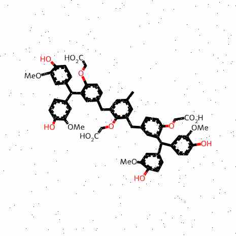 COc1cc(C(c2ccc(O)c(OC)c2)c2cc(Cc3cc(C)cc(Cc4ccc(OCC(=O)O)c(C(c5ccc(O)c(OC)c5)c5ccc(O)c(OC)c5)c4)c3OCC(=O)O)ccc2OCC(=O)O)ccc1O